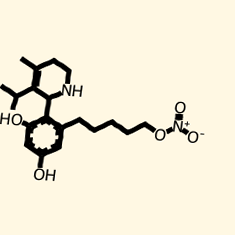 CC1=C(C(C)C)C(c2c(O)cc(O)cc2CCCCCO[N+](=O)[O-])NCC1